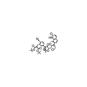 CC(=O)O[C@@H](C(=O)Nc1ccc(C#N)c(CN(C(=O)OC(C)(C)C)C(=O)OC(C)(C)C)c1)[C@H]1OCCN(c2ccc3ccc(=O)[nH]c3c2C)C1=O